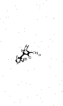 Cc1[nH]nc(C2NN=CO2)c1Cl